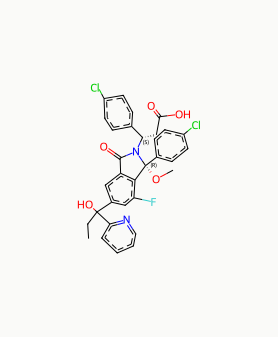 CCC(O)(c1cc(F)c2c(c1)C(=O)N([C@@H](CC(=O)O)c1ccc(Cl)cc1)[C@@]2(OC)c1ccc(Cl)cc1)c1ccccn1